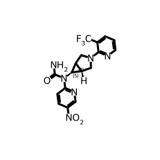 NC(=O)N(c1ccc([N+](=O)[O-])cn1)[C@H]1C2CN(c3ncccc3C(F)(F)F)C[C@@H]21